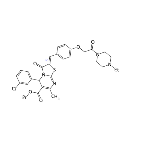 CCN1CCN(C(=O)COc2ccc(/C=c3\sc4n(c3=O)C(c3cccc(Cl)c3)C(C(=O)OC(C)C)=C(C)N=4)cc2)CC1